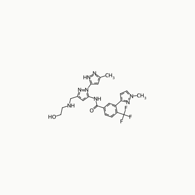 Cc1cc(-n2nc(CNCCO)cc2NC(=O)c2ccc(C(F)(F)F)c(-c3ccn(C)n3)c2)[nH]n1